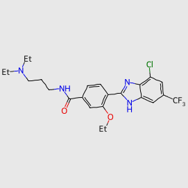 CCOc1cc(C(=O)NCCCN(CC)CC)ccc1-c1nc2c(Cl)cc(C(F)(F)F)cc2[nH]1